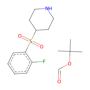 CC(C)(C)OC=O.O=S(=O)(c1ccccc1F)C1CCNCC1